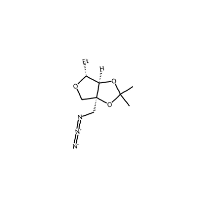 CC[C@H]1OC[C@]2(CN=[N+]=[N-])OC(C)(C)O[C@H]12